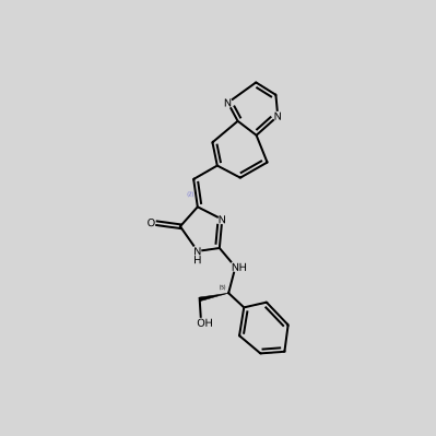 O=C1NC(N[C@H](CO)c2ccccc2)=N/C1=C\c1ccc2nccnc2c1